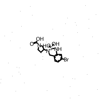 O=C(O)N1CCC(N2Cc3ccc(Br)cc3NS2(O)O)C1